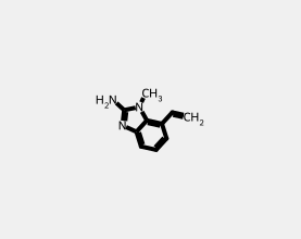 C=Cc1cccc2nc(N)n(C)c12